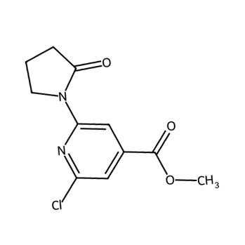 COC(=O)c1cc(Cl)nc(N2CCCC2=O)c1